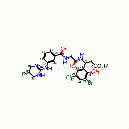 O=C(O)CC(NC(=O)CNC(=O)c1cccc(NC2=NCC(F)CN2)c1)c1cc(Cl)cc(Br)c1O